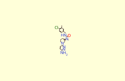 Cc1cc(CNC(=O)N(C)[C@@H]2CCCN(c3ccc(N)nn3)C2)ccc1Cl